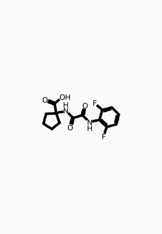 O=C(Nc1c(F)cccc1F)C(=O)NC1(C(=O)O)CCCC1